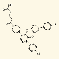 O=C(O)CCCC(=O)N1CCN(c2cnn(-c3ccc(Cl)cc3)c(=O)c2Oc2ccc(-c3ccc(F)cc3)cc2)CC1